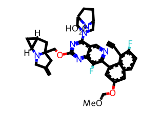 C#Cc1c(F)ccc2cc(OCOC)cc(-c3ncc4c(N5CC6CCC(C5)N6C(=O)O)nc(OCC56CC(=C)CN5[C@H]5C[C@H]5C6)nc4c3F)c12